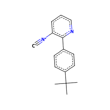 [C-]#[N+]c1cccnc1-c1ccc(C(C)(C)C)cc1